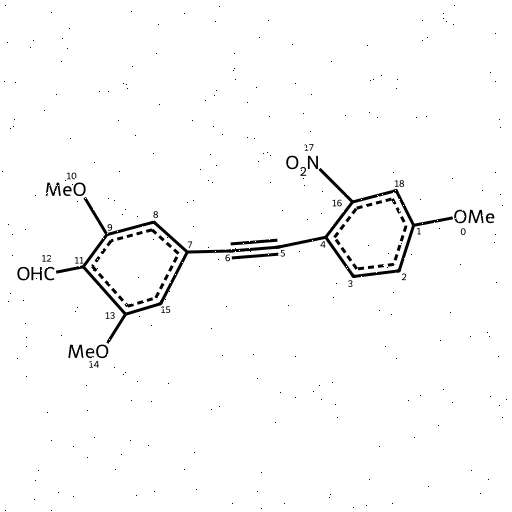 COc1ccc(C#Cc2cc(OC)c(C=O)c(OC)c2)c([N+](=O)[O-])c1